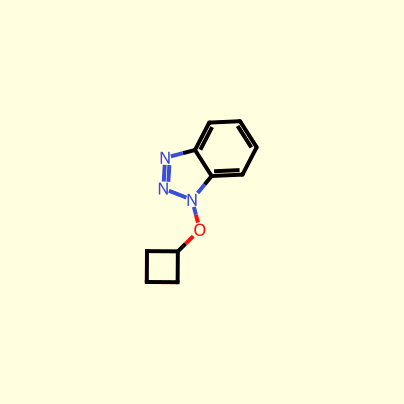 c1ccc2c(c1)nnn2OC1CCC1